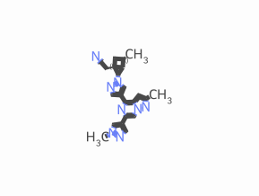 Cc1cc2c(-c3cnn(C4C5[C@H](C)C[C@]54CC#N)c3)nc(-c3cnn(C)c3)cn2n1